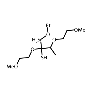 CCO[SiH2]C(S)(OCCOC)C(C)OCCOC